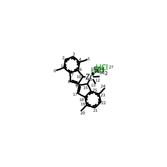 Cc1ccc(C)c2c1C=C[CH]2[Zr]([CH3])([CH3])(=[SiH2])[CH]1C=Cc2c(C)ccc(C)c21.Cl.Cl